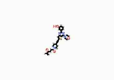 C=C(C)C(=O)CCC(=O)N1CCC(C#Cc2cc3nc(-c4cccc(O)c4)nc(N4CCOCC4)c3s2)CC1